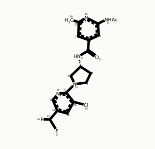 CC(=O)Nc1cc(C(=O)N[C@@H]2CCN(c3ncc(C(F)F)cc3Cl)C2)cc(C)n1